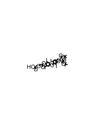 CC(C)(C)OC(=O)N[C@@H](Cc1cc(I)c(Oc2cc(I)c(OC(=O)COCC(=O)O)c(I)c2)c(I)c1)C(=O)OC(C)(C)C